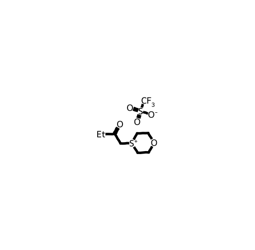 CCC(=O)C[S+]1CCOCC1.O=S(=O)([O-])C(F)(F)F